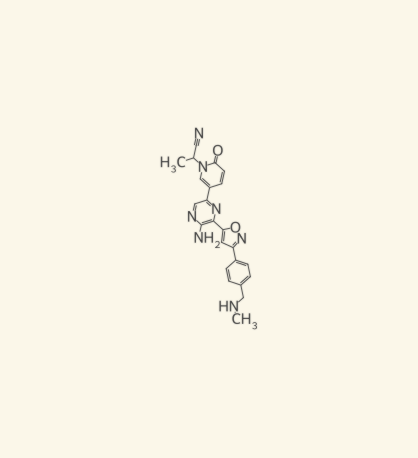 CNCc1ccc(-c2cc(-c3nc(-c4ccc(=O)n(C(C)C#N)c4)cnc3N)on2)cc1